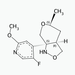 COc1cc([C@]23CO[C@@H](C)C[C@H]2CON3)c(F)cn1